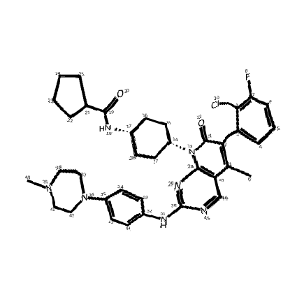 Cc1c(-c2cccc(F)c2Cl)c(=O)n([C@H]2CC[C@@H](NC(=O)C3CCCC3)CC2)c2nc(Nc3ccc(N4CCN(C)CC4)cc3)ncc12